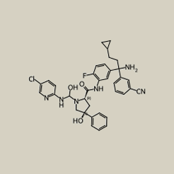 N#Cc1cccc(C(N)(CCC2CC2)c2ccc(F)c(NC(=O)[C@H]3C[C@](O)(c4ccccc4)CN3C(O)Nc3ccc(Cl)cn3)c2)c1